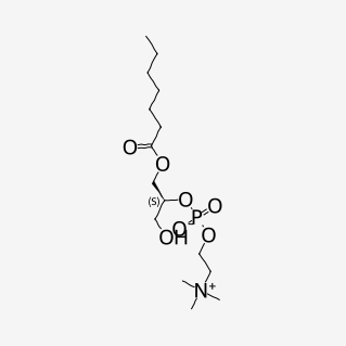 CCCCCCC(=O)OC[C@H](CO)OP(=O)([O-])OCC[N+](C)(C)C